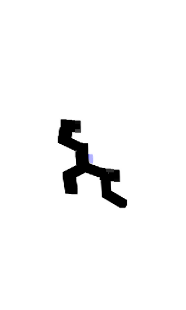 C=C/C(=N\C=N)NCC